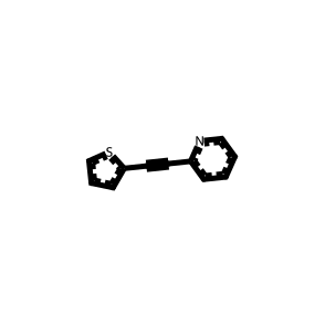 C(#Cc1cccs1)c1ccccn1